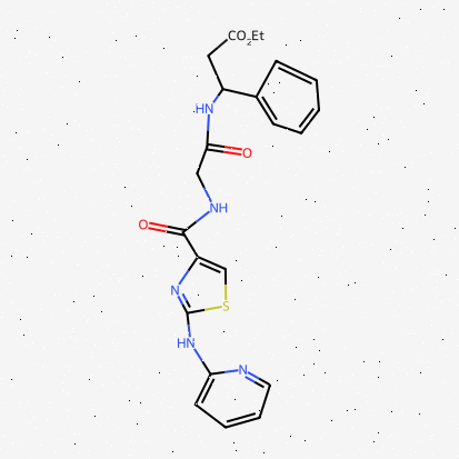 CCOC(=O)CC(NC(=O)CNC(=O)c1csc(Nc2ccccn2)n1)c1ccccc1